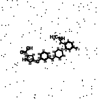 CNCc1ccc(F)cc1[C@H]1CC[C@H](Cc2cccc(O[C@@H]3CN[C@H](C(=O)O)C3)c2)CC1